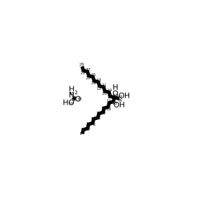 CCCCCCCCCCCCC(O)C(O)(CO)CCCCCCCCCCCC.NC(=O)O